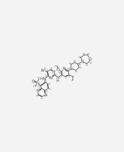 CCc1cc(Nc2ncc(Br)c(Nc3ccc4nccnc4c3P(C)(C)=O)n2)c(OC)nc1N1CCC(N2CCCOCC2)CC1